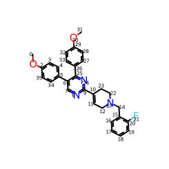 COc1ccc(-c2cnc(C3=CCN(Cc4ccccc4F)CC3)nc2-c2ccc(OC)cc2)cc1